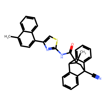 Cc1ccc(-c2csc(NC(=O)C3(C)CC4(C#N)c5ccccc5C3c3ccccc34)n2)c2ccccc12